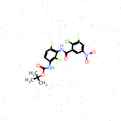 CC(C)(C)OC(=O)Nc1ccc(F)c(NC(=O)c2cc([N+](=O)[O-])cc(F)c2Cl)c1F